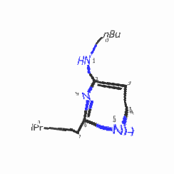 CCCCNC1=CCNC(CC(C)C)=N1